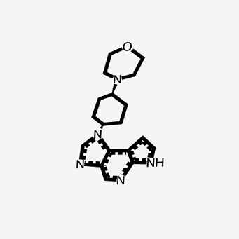 c1cc2c(ncc3ncn([C@H]4CC[C@H](N5CCOCC5)CC4)c32)[nH]1